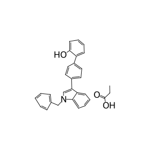 CCC(=O)O.Oc1ccccc1-c1ccc(-c2cn(Cc3ccccc3)c3ccccc23)cc1